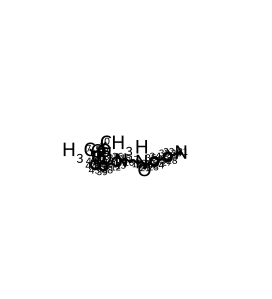 CCOP(=O)(OCC)Oc1c(C2CCN(CCCCNC(=O)c3ccc(-c4ccc(C#N)cc4)cc3)CC2)ccc2c1CCCC2